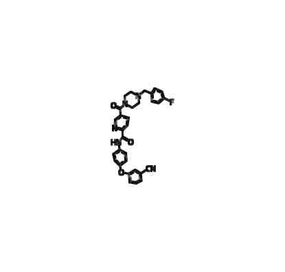 N#Cc1cccc(Oc2ccc(NC(=O)c3ccc(C(=O)N4CCN(Cc5ccc(F)cc5)CC4)cn3)cc2)c1